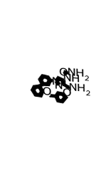 NC(=O)Nc1cn(-c2cccc(-c3ccccc3OCc3ccccc3)c2)nc1C(N)=O